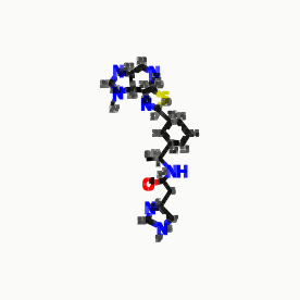 C[C@H](NC(=O)Cc1cn(C)cn1)c1cccc(-c2nc3c(ncc4ncn(C)c43)s2)c1